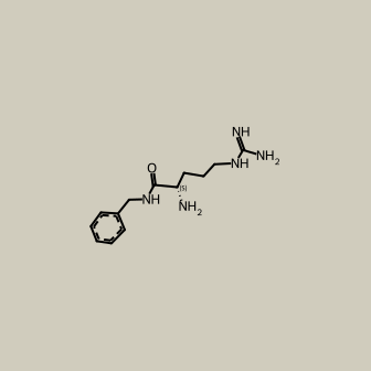 N=C(N)NCCC[C@H](N)C(=O)NCc1ccccc1